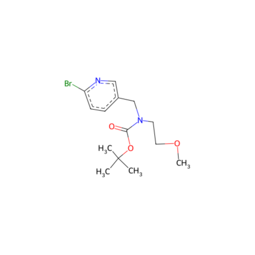 COCCN(Cc1ccc(Br)nc1)C(=O)OC(C)(C)C